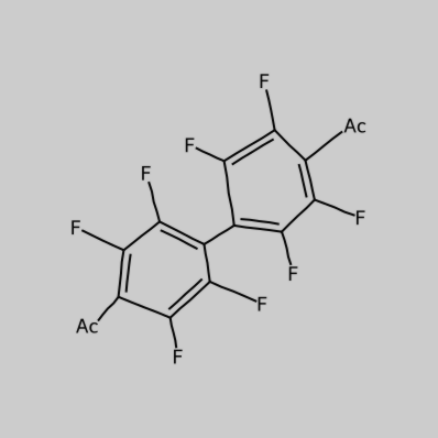 CC(=O)c1c(F)c(F)c(-c2c(F)c(F)c(C(C)=O)c(F)c2F)c(F)c1F